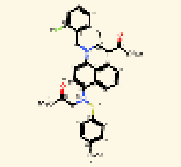 COC(=O)C[C@H](C)N(Cc1ccccc1F)c1ccc(N(CC(=O)OC)Sc2ccc(OC)cc2)c2ccccc12